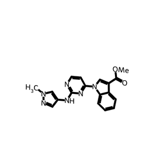 COC(=O)c1cn(-c2ccnc(Nc3cnn(C)c3)n2)c2ccccc12